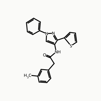 Cc1cccc(CC(=O)Nc2cn(-c3ccccc3)nc2-c2cccs2)c1